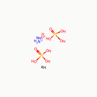 N.N.O.O=P(O)(O)O.O=P(O)(O)O.[KH]